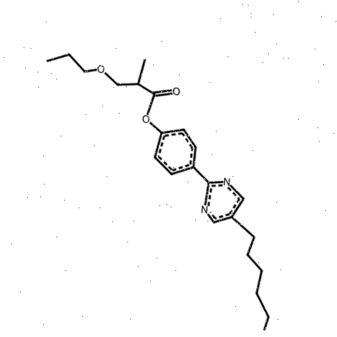 CCCCCCc1cnc(-c2ccc(OC(=O)C(C)COCCC)cc2)nc1